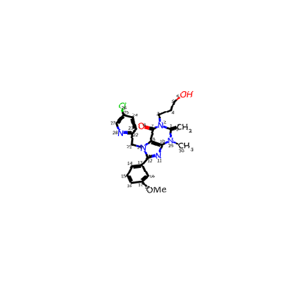 C=C1N(CCCO)C(=O)c2c(nc(-c3cccc(OC)c3)n2Cc2ccc(Cl)cn2)N1C